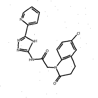 O=C(CN1C(=O)CCc2cc(Cl)ccc21)Nc1nnc(-c2ccccn2)[nH]1